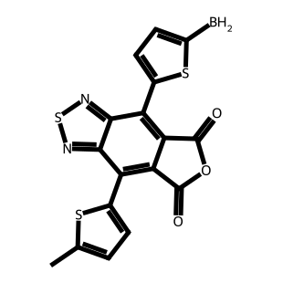 Bc1ccc(-c2c3c(c(-c4ccc(C)s4)c4nsnc24)C(=O)OC3=O)s1